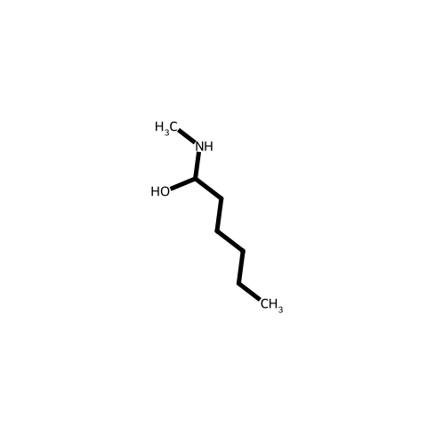 CCCCCC(O)NC